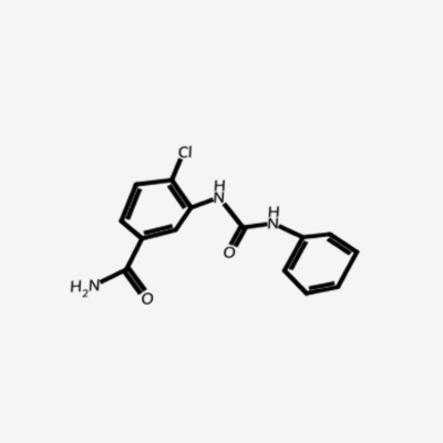 NC(=O)c1ccc(Cl)c(NC(=O)Nc2ccccc2)c1